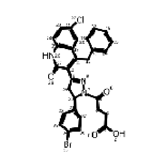 O=C(O)CCC(=O)N1N=C(c2c(Cc3ccccc3)c3cc(Cl)ccc3[nH]c2=O)CC1c1ccc(Br)cc1